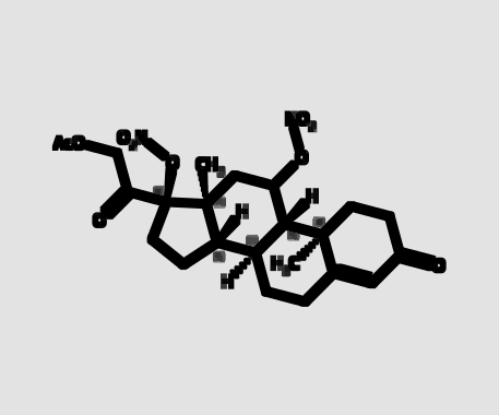 CC(=O)OCC(=O)[C@@]1(O[N+](=O)[O-])CC[C@H]2[C@@H]3CCC4=CC(=O)CC[C@]4(C)[C@H]3C(O[N+](=O)[O-])C[C@@]21C